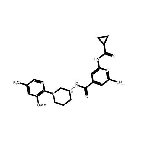 COc1cc(C(F)(F)F)cnc1N1CCC[C@@H](NC(=O)c2cc(C)nc(NC(=O)C3CC3)c2)C1